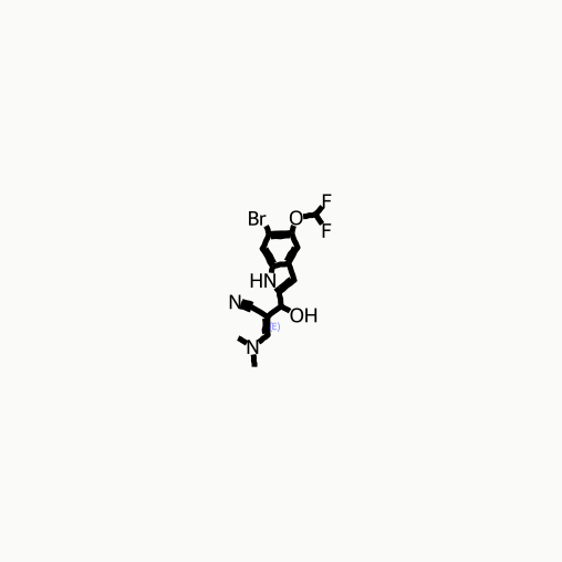 CN(C)/C=C(\C#N)C(O)c1cc2cc(OC(F)F)c(Br)cc2[nH]1